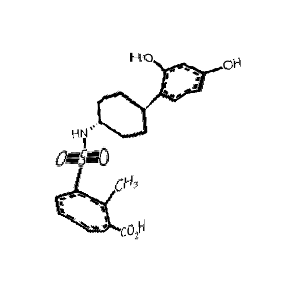 Cc1c(C(=O)O)cccc1S(=O)(=O)N[C@H]1CC[C@H](c2ccc(O)cc2O)CC1